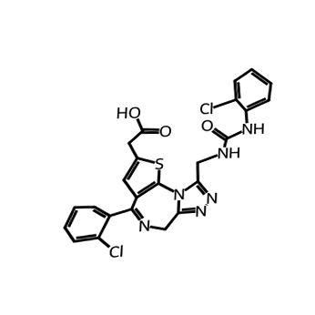 O=C(O)Cc1cc2c(s1)-n1c(nnc1CNC(=O)Nc1ccccc1Cl)CN=C2c1ccccc1Cl